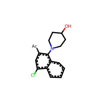 CC(=O)c1cc(Cl)c2ccccc2c1N1CCC(O)CC1